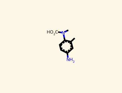 Cc1cc(N)ccc1N(C)C(=O)O